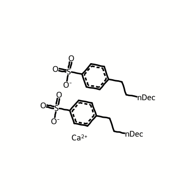 CCCCCCCCCCCCc1ccc(S(=O)(=O)[O-])cc1.CCCCCCCCCCCCc1ccc(S(=O)(=O)[O-])cc1.[Ca+2]